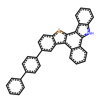 c1ccc(-c2ccc(-c3ccc4sc5c(c4c3)c3ccccc3c3[nH]c4ccccc4c35)cc2)cc1